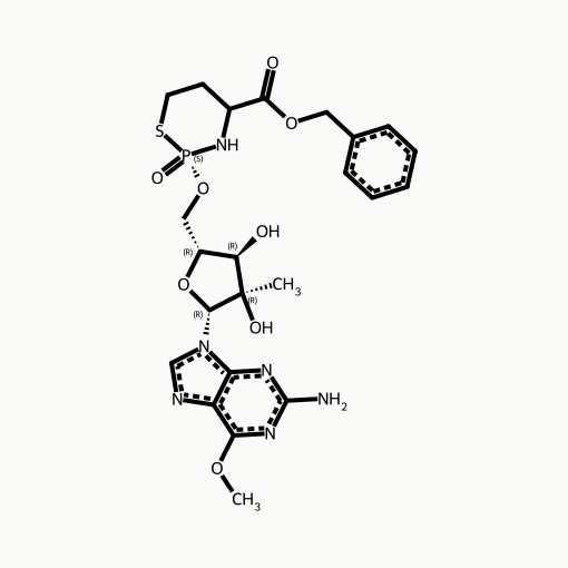 COc1nc(N)nc2c1ncn2[C@@H]1O[C@H](CO[P@@]2(=O)NC(C(=O)OCc3ccccc3)CCS2)[C@@H](O)[C@@]1(C)O